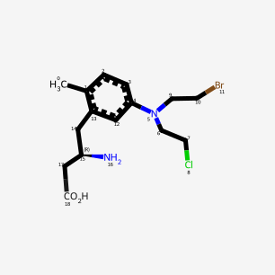 Cc1ccc(N(CCCl)CCBr)cc1C[C@@H](N)CC(=O)O